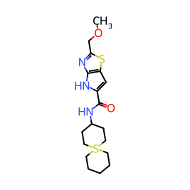 COCc1nc2[nH]c(C(=O)NC3CCS4(CCCCC4)CC3)cc2s1